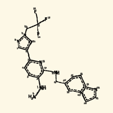 NNc1ccc(-c2cnn(CC(F)(F)F)c2)nc1NCc1ccc2nccn2c1